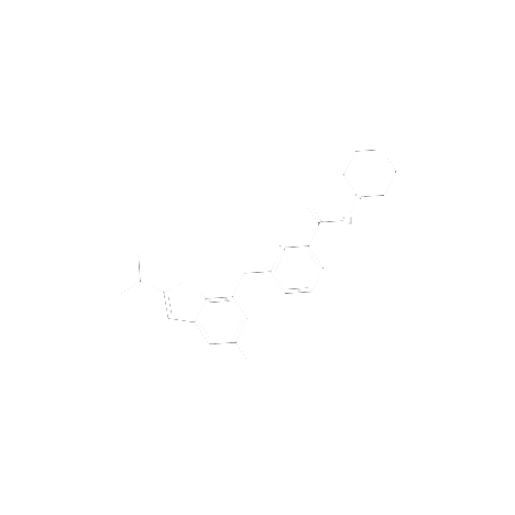 CC(C)c1cc2cc(Cl)cc(Cc3cccc(C(=O)NN4CCOCC4)n3)c2o1